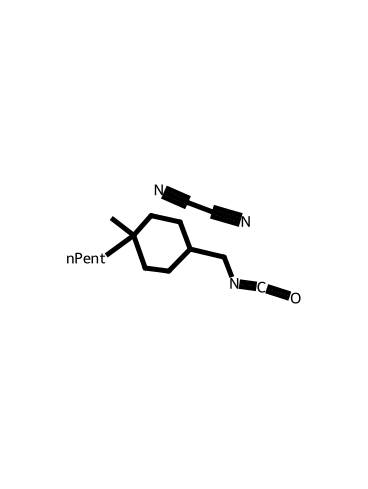 CCCCCC1(C)CCC(CN=C=O)CC1.N#CC#N